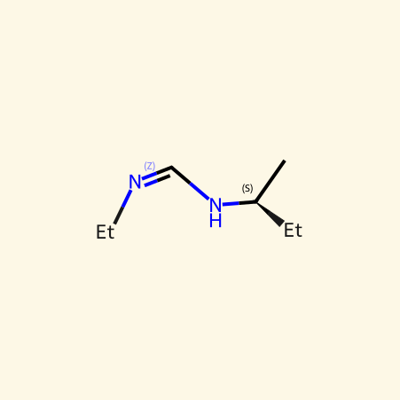 CC/N=C\N[C@@H](C)CC